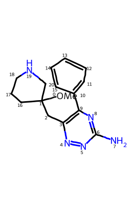 COC1(Cc2nnc(N)nc2-c2ccccc2)CCCNC1